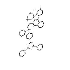 CC1(C)CC(C)(C)CC2(C1)c1cc(F)ccc1-c1c2c2c(c3ccccc13)OC(c1ccccc1)(c1ccc(-c3nc(-c4ccccc4)nc(-c4ccccc4)n3)cc1)C=C2